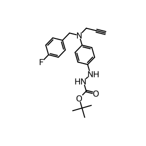 C#CCN(Cc1ccc(F)cc1)c1ccc(NNC(=O)OC(C)(C)C)cc1